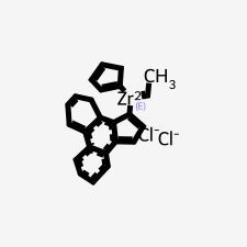 C/[CH]=[Zr+2](\[C]1=CC=CC1)[C]1=CC=c2c1c1c(c3ccccc23)=CC=CC1.[Cl-].[Cl-]